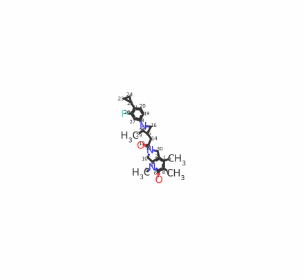 Cc1c2c(n(C)c(=O)c1C)CN(C(=O)CC1CN(c3ccc(C4CC4)c(F)c3)C1C)C2